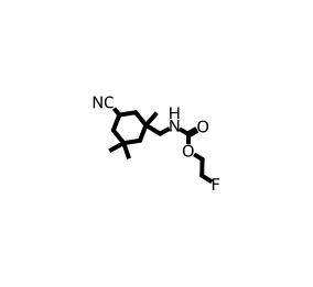 CC1(C)CC(C#N)CC(C)(CNC(=O)OCCF)C1